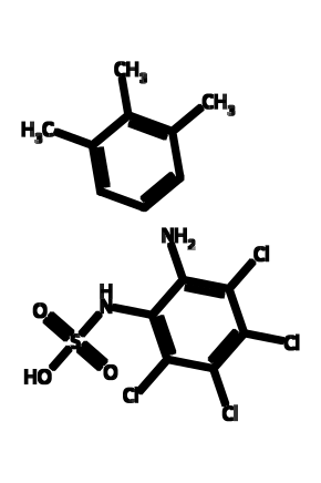 Cc1cccc(C)c1C.Nc1c(Cl)c(Cl)c(Cl)c(Cl)c1NS(=O)(=O)O